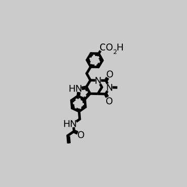 C=CC(=O)NCc1ccc2[nH]c3c(c2c1)C1CN(C(=O)N(C)C1=O)C3Cc1ccc(C(=O)O)cc1